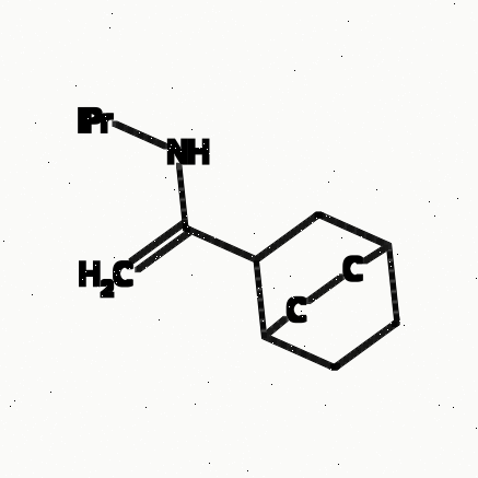 C=C(NC(C)C)C1CC2CCC1CC2